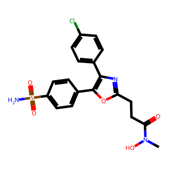 CN(O)C(=O)CCc1nc(-c2ccc(Cl)cc2)c(-c2ccc(S(N)(=O)=O)cc2)o1